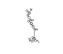 CC(C)(C)OC(=O)CCCCCCNC1CCN(c2ccc(C(=O)N[C@H]3CC[C@H](Oc4ccc(C#N)c(Cl)c4)CC3)cc2)CC1